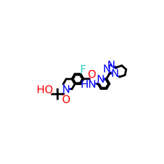 CC(C)(CO)C(=O)N1CCc2cc(F)c(C(=O)Nc3cccc(-c4nnc5n4CCCC5)n3)cc2C1